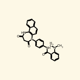 CN(C)c1ccccc1C(=O)Nc1ccc(N2C(=O)CC(=O)Nc3c2ccc2ccccc32)cc1